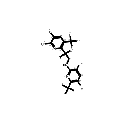 CC(C)(C)c1nc(NCC(C)(C)c2nc(N)c(F)cc2C(F)(F)F)c(F)cc1Cl